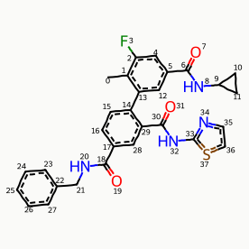 Cc1c(F)cc(C(=O)NC2CC2)cc1-c1ccc(C(=O)NCc2ccccc2)cc1C(=O)Nc1nccs1